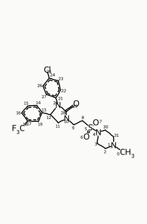 CN1CCN(S(=O)(=O)CCN2CC(c3cccc(C(F)(F)F)c3)N(c3ccc(Cl)cc3)C2=O)CC1